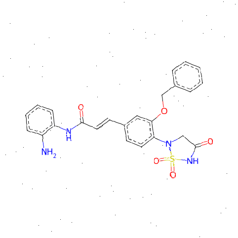 Nc1ccccc1NC(=O)C=Cc1ccc(N2CC(=O)NS2(=O)=O)c(OCc2ccccc2)c1